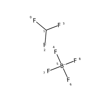 FC(F)F.F[B-](F)(F)F